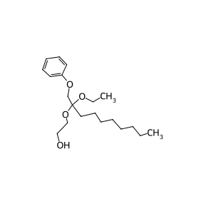 CCCCCCCCC(COc1ccccc1)(OCC)OCCO